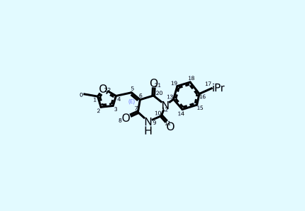 Cc1ccc(/C=C2\C(=O)NC(=O)N(c3ccc(C(C)C)cc3)C2=O)o1